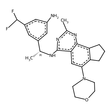 Cc1nc(N[C@H](C)c2cc(N)cc(C(F)F)c2)c2cc(N3CCOCC3)c3c(c2n1)CCC3